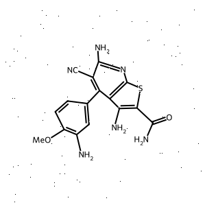 COc1ccc(-c2c(C#N)c(N)nc3sc(C(N)=O)c(N)c23)cc1N